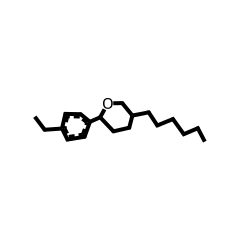 CCCCCCC1CCC(c2ccc(CC)cc2)OC1